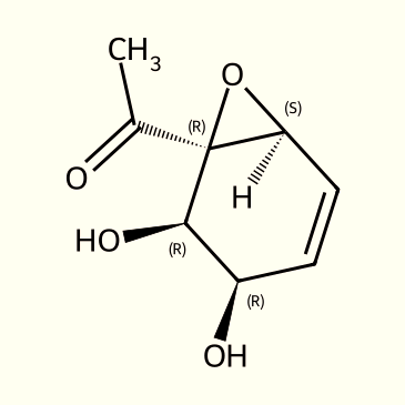 CC(=O)[C@]12O[C@H]1C=C[C@@H](O)[C@H]2O